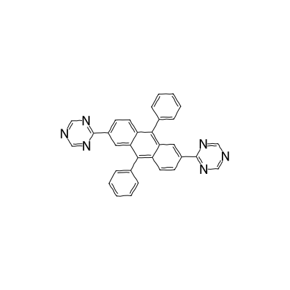 c1ccc(-c2c3ccc(-c4ncncn4)cc3c(-c3ccccc3)c3ccc(-c4ncncn4)cc23)cc1